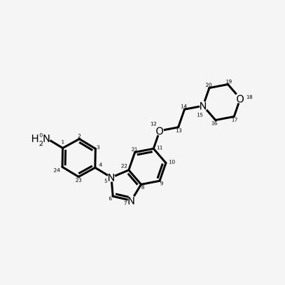 Nc1ccc(-n2cnc3ccc(OCCN4CCOCC4)cc32)cc1